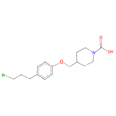 O=C(O)N1CCC(COc2ccc(CCCBr)cc2)CC1